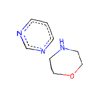 C1COCCN1.c1cncnc1